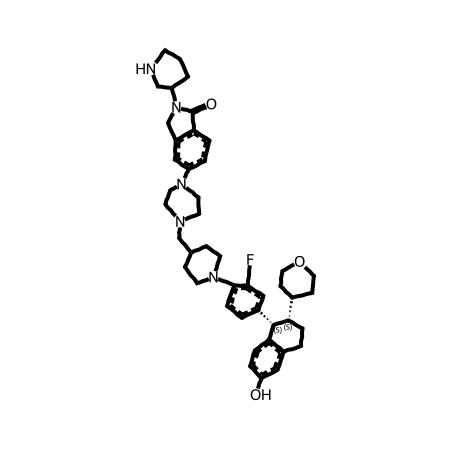 O=C1c2ccc(N3CCN(CC4CCN(c5ccc([C@H]6c7ccc(O)cc7CC[C@H]6C6CCOCC6)cc5F)CC4)CC3)cc2CN1C1CCCNC1